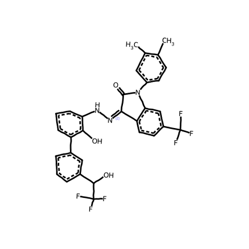 Cc1ccc(N2C(=O)/C(=N\Nc3cccc(-c4cccc(C(O)C(F)(F)F)c4)c3O)c3ccc(C(F)(F)F)cc32)cc1C